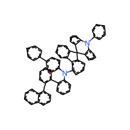 c1ccc(-c2ccc(N(c3ccccc3-c3ccccc3-c3cccc4ccccc34)c3cccc4c3-c3ccccc3C43c4ccccc4N(c4ccccc4)c4ccccc43)cc2)cc1